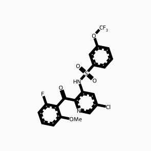 COc1cccc(F)c1C(=O)c1ncc(Cl)cc1NS(=O)(=O)c1cccc(OC(F)(F)F)c1